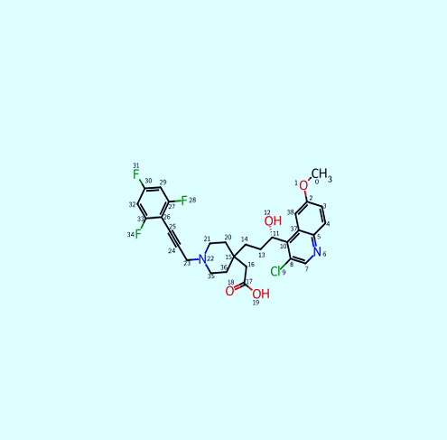 COc1ccc2ncc(Cl)c([C@@H](O)CCC3(CC(=O)O)CCN(CC#Cc4c(F)cc(F)cc4F)CC3)c2c1